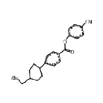 CCC(C)CC1CCC(c2ccc(C(=O)Oc3ccc(C#N)cc3)cc2)CC1